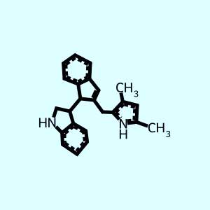 Cc1cc(C)c(CC2=Cc3ccccc3C2C2CNc3ccccc32)[nH]1